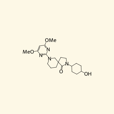 COc1cc(OC)nc(N2CCCC3(CCN(C4CCC(O)CC4)C3=O)C2)n1